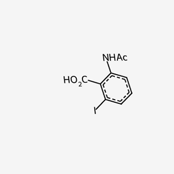 CC(=O)Nc1cccc(I)c1C(=O)O